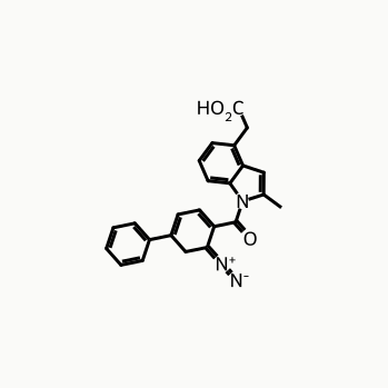 Cc1cc2c(CC(=O)O)cccc2n1C(=O)C1=CC=C(c2ccccc2)CC1=[N+]=[N-]